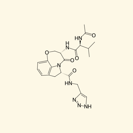 CC(=O)N[C@H](C(=O)N[C@H]1COc2cccc3c2N(C1=O)[C@H](C(=O)NCc1c[nH]nn1)C3)C(C)C